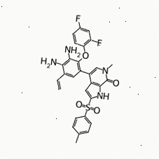 C=Cc1cc(-c2cn(C)c(=O)c3[nH]c(S(=O)(=O)c4ccc(C)cc4)cc23)c(Oc2ccc(F)cc2F)c(N)c1N